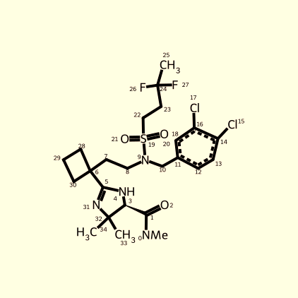 CNC(=O)[C@@H]1NC(C2(CCN(Cc3ccc(Cl)c(Cl)c3)S(=O)(=O)CCC(C)(F)F)CCC2)=NC1(C)C